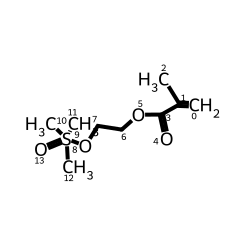 C=C(C)C(=O)OCCOS(C)(C)(C)=O